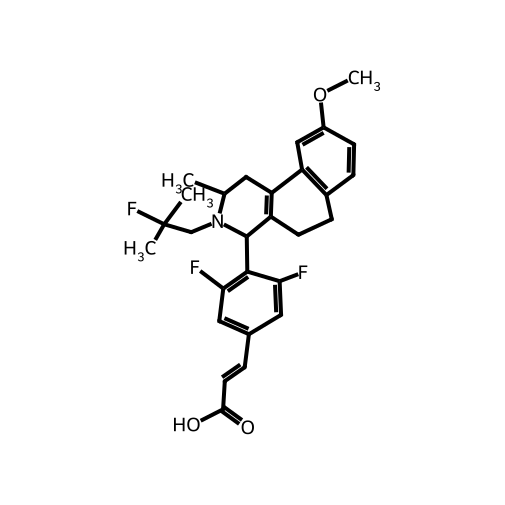 COc1ccc2c(c1)C1=C(CC2)C(c2c(F)cc(/C=C/C(=O)O)cc2F)N(CC(C)(C)F)C(C)C1